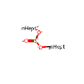 CCCCCCCOS(=O)OCCCCCCC